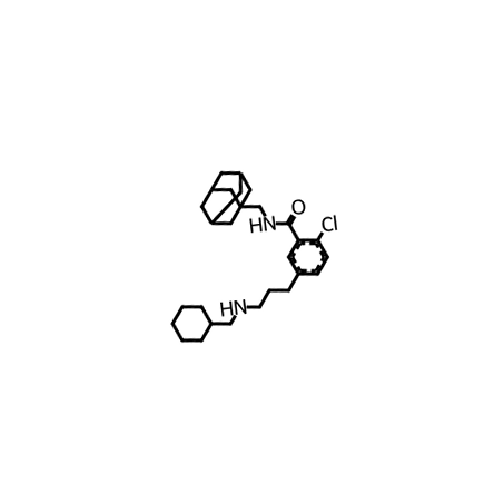 O=C(NCC12CC3CC(CC(C3)C1)C2)c1cc(CCCNCC2CCCCC2)ccc1Cl